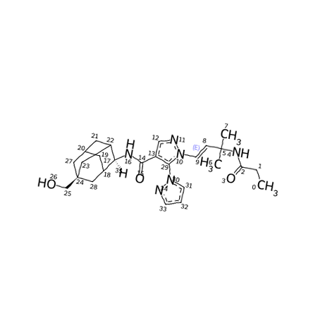 CCC(=O)NC(C)(C)/C=C/n1ncc(C(=O)N[C@H]2C3CC4CC2C[C@@](CO)(C4)C3)c1-n1cccn1